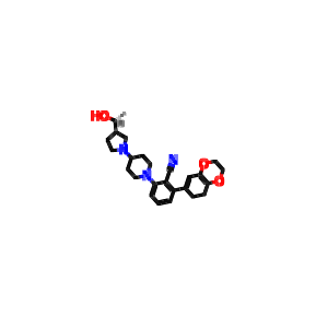 C[C@@H](O)C1CCN(C2CCN(c3cccc(C4=CC5=C(CC4)OCCO5)c3C#N)CC2)C1